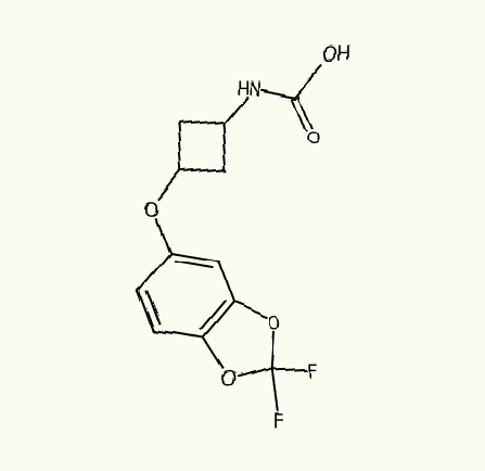 O=C(O)NC1CC(Oc2ccc3c(c2)OC(F)(F)O3)C1